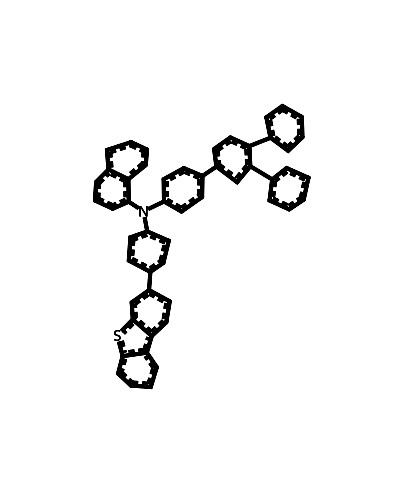 c1ccc(-c2ccc(-c3ccc(N(c4ccc(-c5ccc6c(c5)sc5ccccc56)cc4)c4cccc5ccccc45)cc3)cc2-c2ccccc2)cc1